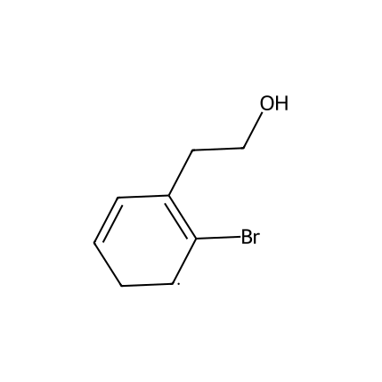 OCCC1=C(Br)[CH]CC=C1